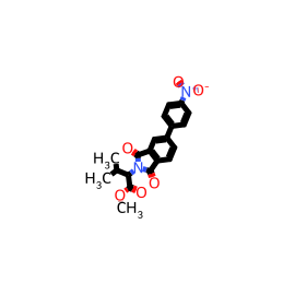 COC(=O)C(C(C)C)N1C(=O)c2ccc(-c3ccc([N+](=O)[O-])cc3)cc2C1=O